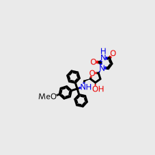 COc1ccc(C(NC[C@H]2O[C@@H](n3ccc(=O)[nH]c3=O)C[C@H]2O)(c2ccccc2)c2ccccc2)cc1